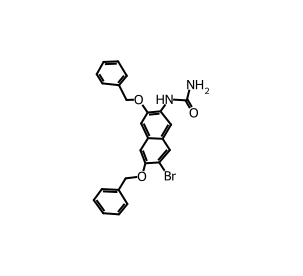 NC(=O)Nc1cc2cc(Br)c(OCc3ccccc3)cc2cc1OCc1ccccc1